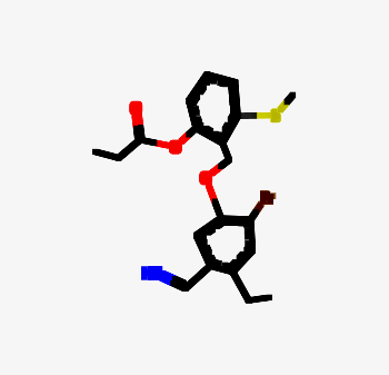 CCC(=O)Oc1cccc(SC)c1COc1cc(C=N)c(CC)cc1Br